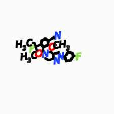 CCC(F)(CC)c1ccc(C#N)c(OC)c1C(=O)N1CCc2nn(-c3ccc(F)cc3)cc2C1